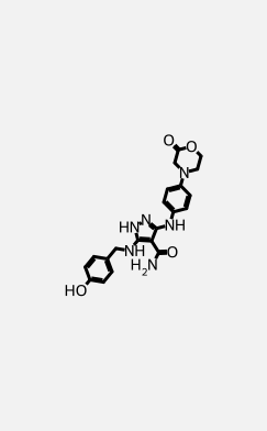 NC(=O)c1c(Nc2ccc(N3CCOC(=O)C3)cc2)n[nH]c1NCc1ccc(O)cc1